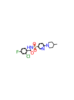 CC1CCN(c2ccc(S(=O)(=O)NC(=O)c3ccc(F)cc3Cl)cn2)CC1